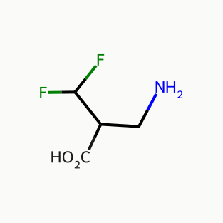 NCC(C(=O)O)C(F)F